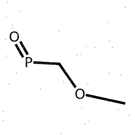 COCP=O